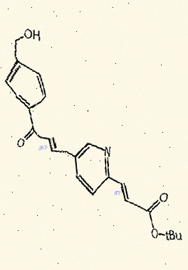 CC(C)(C)OC(=O)/C=C/c1ccc(/C=C/C(=O)c2ccc(CO)cc2)cn1